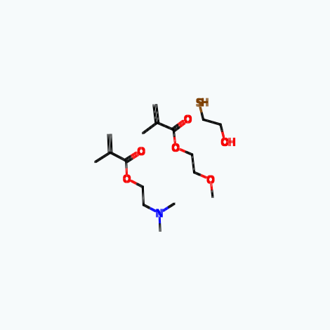 C=C(C)C(=O)OCCN(C)C.C=C(C)C(=O)OCCOC.OCCS